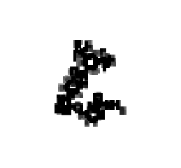 NC(=O)c1nccc(COc2nsnc2N2CCN(C(=O)Nc3cc(C(F)(F)F)cc(C(F)(F)F)c3)CC2)n1